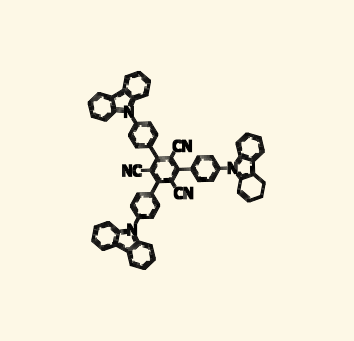 N#Cc1c(-c2ccc(-n3c4c(c5ccccc53)CCC=C4)cc2)c(C#N)c(-c2ccc(-n3c4ccccc4c4ccccc43)cc2)c(C#N)c1-c1ccc(-n2c3ccccc3c3ccccc32)cc1